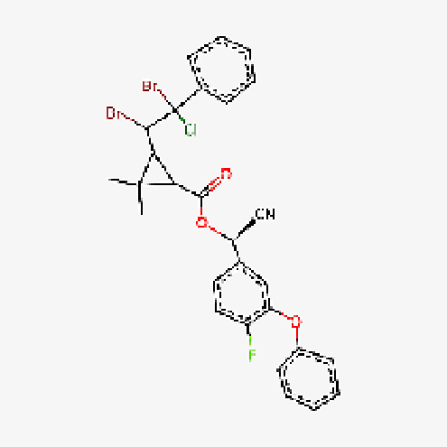 CC1(C)C(C(=O)O[C@@H](C#N)c2ccc(F)c(Oc3ccccc3)c2)C1C(Br)C(Cl)(Br)c1ccccc1